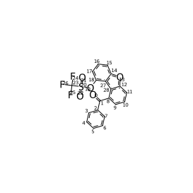 O=C(c1ccccc1)c1cccc2oc3cccc(OS(=O)(=O)C(F)(F)F)c3c12